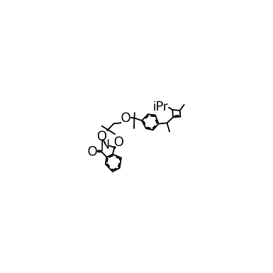 CC(C1=CC(C)C1C(C)C)c1ccc(C(C)(C)OCCC(C)(C)ON2C(=O)c3ccccc3C2=O)cc1